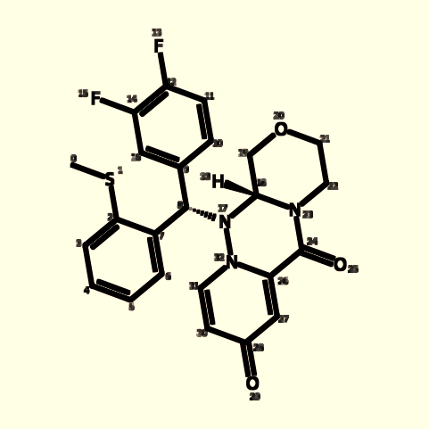 CSc1ccccc1[C@H](c1ccc(F)c(F)c1)N1[C@@H]2COCCN2C(=O)c2cc(=O)ccn21